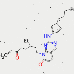 C=CC(=O)CCC(CC)CCn1c(=O)ccc2cnc(NC3=CC(CCCC(C)C)C=C3)nc21